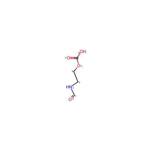 O=CNCCOC(=O)O